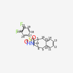 O=S(=O)(NC1C2CCC1Cc1ccccc1C2)c1ccc(F)c(F)c1